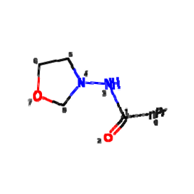 CCCC(=O)NN1CCOC1